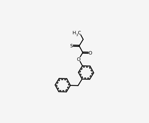 CCC(=S)C(=O)Oc1cccc(Cc2ccccc2)c1